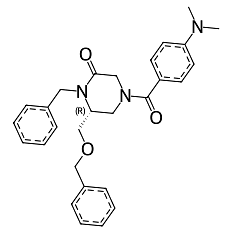 CN(C)c1ccc(C(=O)N2CC(=O)N(Cc3ccccc3)[C@@H](COCc3ccccc3)C2)cc1